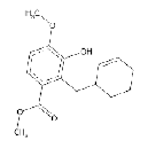 COC(=O)c1ccc(OC)c(O)c1CC1C=CCCC1